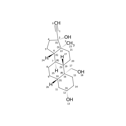 C#C[C@]1(O)CC[C@H]2[C@@H]3CC[C@H]4C[C@@H](O)CC[C@]4(CO)[C@H]3CC[C@@]21C